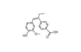 CCC(=Cc1ccc(O)c(OC)c1)c1ccc(C(=O)O)cc1